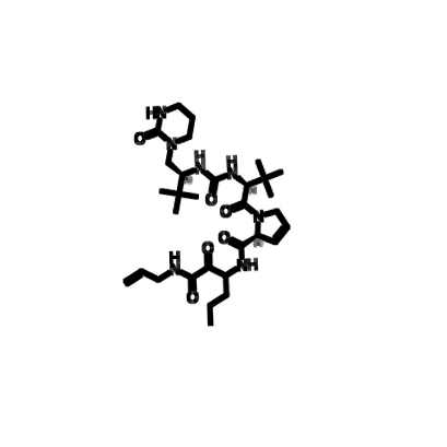 C=CCNC(=O)C(=O)C(CCC)NC(=O)[C@@H]1C=CCN1C(=O)[C@@H](NC(=O)N[C@H](CN1CCCNC1=O)C(C)(C)C)C(C)(C)C